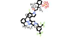 CCc1cccc(CC)c1-n1nc2c(c1-c1ccc(F)c3c1ccn3C(=O)CC(C)(C)c1c(C)cc(C)cc1OP(=O)(O)O)CN(Cc1ccc(C(F)(F)F)cc1C(F)(F)F)C2(C)C